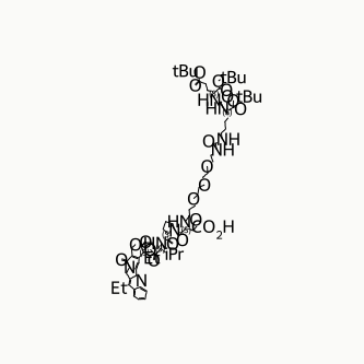 CCc1c2c(nc3ccccc13)-c1cc3c(c(=O)n1C2)COC(=O)[C@@]3(CC)OC(=O)[C@@H](NC(=O)[C@@H]1CCCN1C(=O)[C@H](CC(=O)O)NC(=O)CCOCCOCCOCCNC(=O)NCCCC[C@H](NC(=O)N[C@@H](CCC(=O)OC(C)(C)C)C(=O)OC(C)(C)C)C(=O)OC(C)(C)C)C(C)C